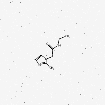 CCNC(=O)Cn1c[c]nc1C